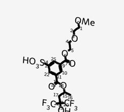 COCCOCCOC(=O)c1cc(C(=O)OC(C)CC(O)(C(F)(F)F)C(F)(F)F)cc(S(=O)(=O)O)c1